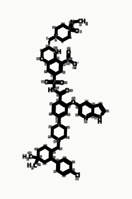 CN=S1(=O)CCN(C[C@H]2COc3cc(S(=O)(=O)NC(=O)c4ccc(N5CCN(CC6=C(c7ccc(Cl)cc7)CC(C)(C)CC6)CC5)cc4Oc4cnc5[nH]ccc5c4)cc([N+](=O)[O-])c3N2)CC1